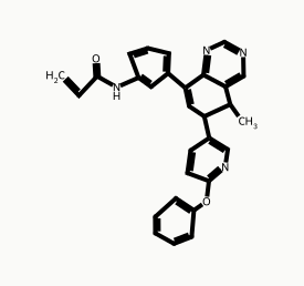 C=CC(=O)Nc1cccc(C2=CC(c3ccc(Oc4ccccc4)nc3)C(C)c3cncnc32)c1